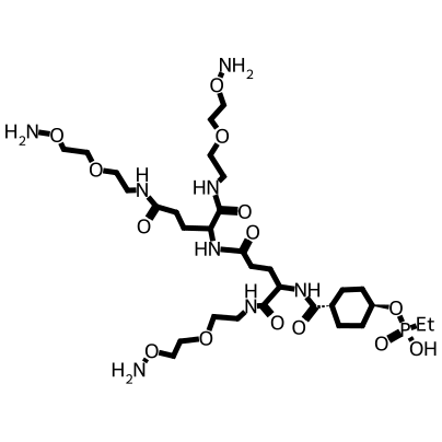 CCP(=O)(O)O[C@H]1CC[C@H](C(=O)NC(CCC(=O)NC(CCC(=O)NCCOCCON)C(=O)NCCOCCON)C(=O)NCCOCCON)CC1